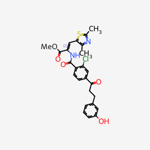 COC(=O)/C(=C/c1sc(C)nc1C)NC(=O)c1ccc(C(=O)CCc2cccc(O)c2)cc1Cl